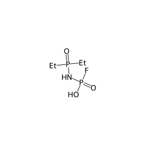 CCP(=O)(CC)NP(=O)(O)F